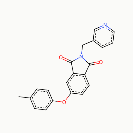 Cc1ccc(Oc2ccc3c(c2)C(=O)N(Cc2cccnc2)C3=O)cc1